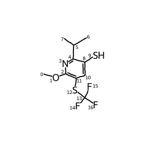 COc1nc(C(C)C)c(S)cc1SC(F)(F)F